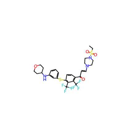 CCS(=O)(=O)N1CCN(C=CC(=O)c2ccc(Sc3cccc(NC4CCOCC4)c3)c(C(F)(F)F)c2C(F)(F)F)CC1